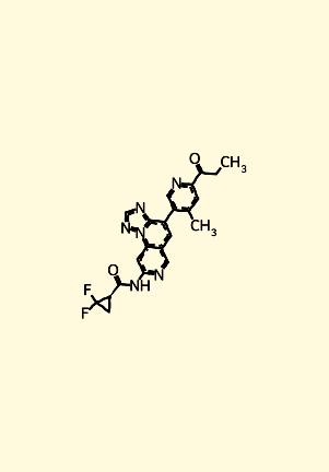 CCC(=O)c1cc(C)c(-c2cc3cnc(NC(=O)[C@H]4CC4(F)F)cc3n3ncnc23)cn1